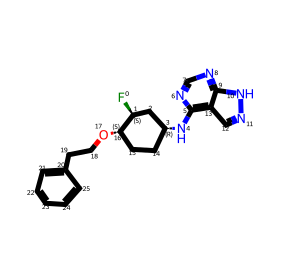 F[C@H]1C[C@H](Nc2ncnc3[nH]ncc23)CC[C@@H]1OCCc1ccccc1